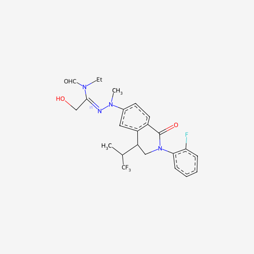 CCN(C=O)/C(CO)=N\N(C)c1ccc2c(c1)C(C(C)C(F)(F)F)CN(c1ccccc1F)C2=O